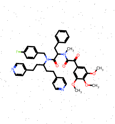 COc1cc(C(=O)C(=O)N(C)C(Cc2ccccc2)C(=O)N(Cc2ccc(F)cc2)C(CCc2ccncc2)CCc2ccncc2)cc(OC)c1OC